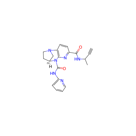 C#CC(C)NC(=O)c1ccc2c(n1)N(C(=O)Nc1ccccn1)[C@H]1CCN2C1